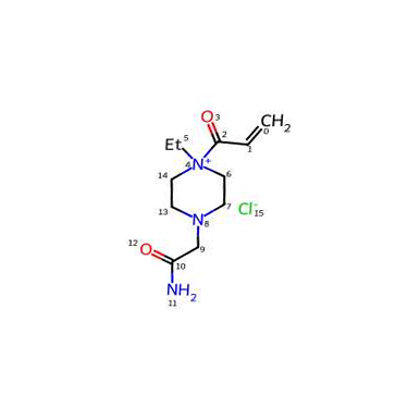 C=CC(=O)[N+]1(CC)CCN(CC(N)=O)CC1.[Cl-]